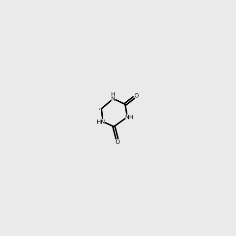 O=C1N[C]NC(=O)N1